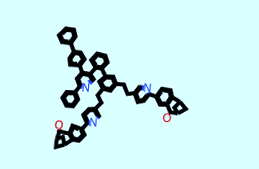 O=C1c2cc(-c3ccc(CCc4cc(CCc5ccc(-c6ccc7c(c6)C(=O)C6CC7C6)nc5)cc(-c5ccccc5-c5cnc(-c6ccccc6)cc5-c5ccc(-c6ccccc6)cc5)c4)cn3)ccc2C2CC1C2